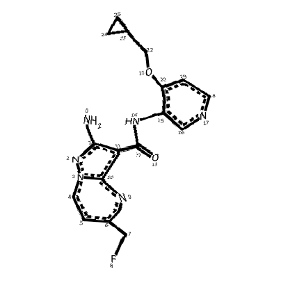 Nc1nn2ccc(CF)nc2c1C(=O)Nc1cnccc1OCC1CC1